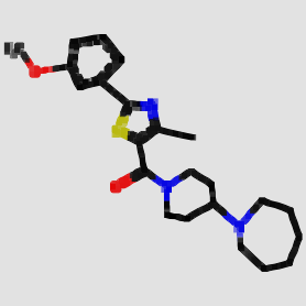 Cc1nc(-c2cccc(OC(F)(F)F)c2)sc1C(=O)N1CCC(N2CCCCCC2)CC1